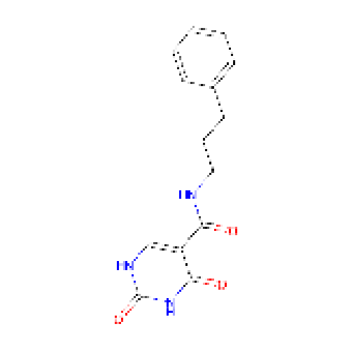 O=C(NCCCc1ccccc1)c1c[nH]c(=O)[nH]c1=O